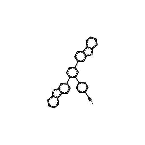 N#Cc1ccc(-c2cc(-c3ccc4c(c3)sc3ccccc34)ccc2-c2ccc3c(c2)sc2ccccc23)cc1